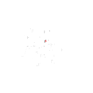 FCC(F)(C(F)(F)F)C1(F)C2C=CC(C2)C1(F)C(F)(F)F